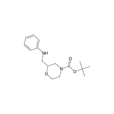 CC(C)(C)OC(=O)N1CCOC(CNc2ccccc2)C1